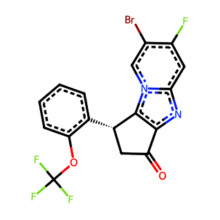 O=C1C[C@H](c2ccccc2OC(F)(F)F)c2c1nc1cc(F)c(Br)cn21